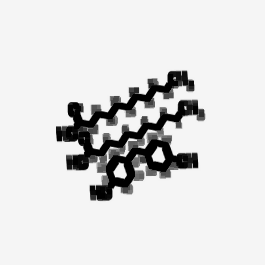 CCCCCCCCCCC(=O)O.CCCCCCCCCCC(=O)O.Oc1ccc(Cc2ccc(O)cc2)cc1